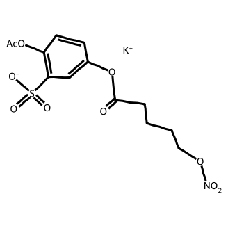 CC(=O)Oc1ccc(OC(=O)CCCCO[N+](=O)[O-])cc1S(=O)(=O)[O-].[K+]